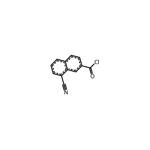 N#Cc1cccc2ccc(C(=O)Cl)cc12